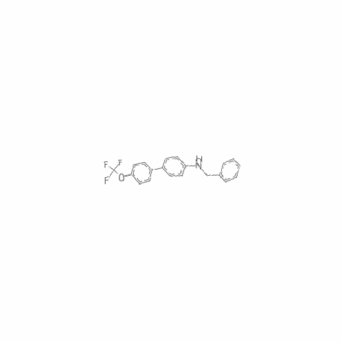 FC(F)(F)Oc1ccc(-c2ccc(NCc3ccccc3)cc2)cc1